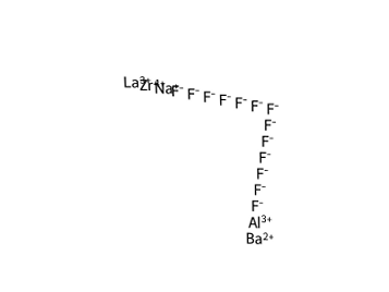 [Al+3].[Ba+2].[F-].[F-].[F-].[F-].[F-].[F-].[F-].[F-].[F-].[F-].[F-].[F-].[F-].[La+3].[Na+].[Zr+4]